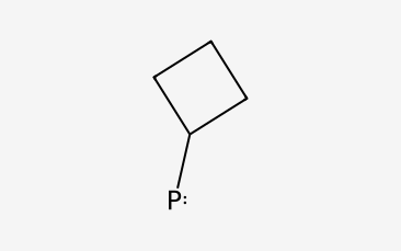 [P]C1CCC1